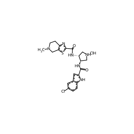 CN1CCc2nc(C(=O)N[C@@H]3CNC[C@H]3NC(=O)c3cc4cc(Cl)ccc4[nH]3)sc2C1.Cl